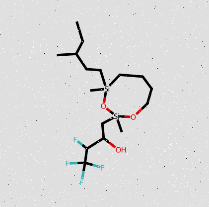 CCC(C)CC[Si]1(C)CCCCO[Si](C)(CC(O)C(F)C(F)(F)F)O1